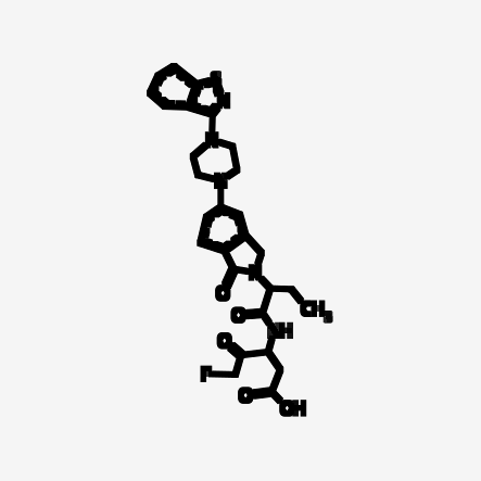 CCC(C(=O)NC(CC(=O)O)C(=O)CF)N1Cc2cc(N3CCN(c4nsc5ccccc45)CC3)ccc2C1=O